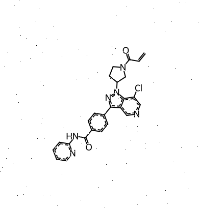 C=CC(=O)N1CCC(n2nc(-c3ccc(C(=O)Nc4ccccn4)cc3)c3cncc(Cl)c32)C1